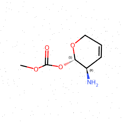 COC(=O)O[C@@H]1OCC=C[C@H]1N